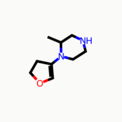 CC1CNCCN1C1=COCC1